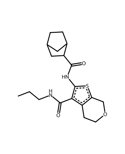 CCCNC(=O)c1c(NC(=O)C2CC3CCC2C3)sc2c1CCOC2